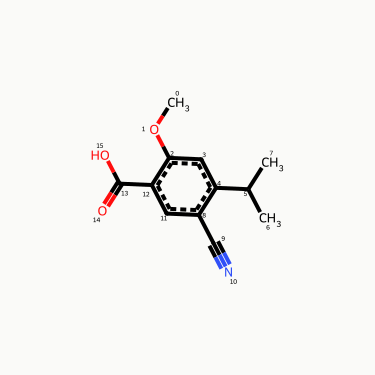 COc1cc(C(C)C)c(C#N)cc1C(=O)O